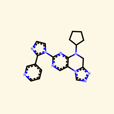 c1cncc(-c2nccn2-c2ncc3c(n2)N(C2CCCC2)Cc2nncn2-3)c1